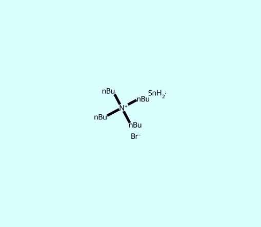 CCCC[N+](CCCC)(CCCC)CCCC.[Br-].[SnH2]